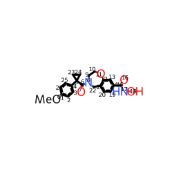 COc1ccc(C2(C(=O)N3CCOc4cc(C(=O)NO)ccc4C3)CC2)cc1